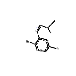 CN(C)/C=N\c1nc(Br)cnc1Br